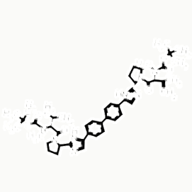 C=C(C)[C@@H](C(=O)N1CCC[C@H]1c1ncc(-c2ccc(-c3ccc(-c4cnc(C5CCCN5C(=O)[C@H](C(C)C)N(C)C(=O)OC(C)(C)C)[nH]4)cc3)cc2)[nH]1)N(C)C(=O)OC(C)(C)C